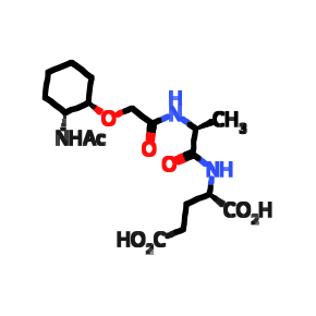 CC(=O)N[C@@H]1CCCC[C@H]1OCC(=O)N[C@@H](C)C(=O)N[C@H](CCC(=O)O)C(=O)O